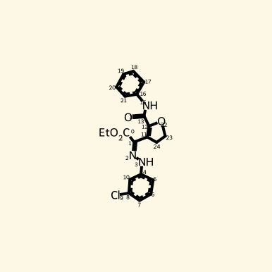 CCOC(=O)/C(=N/Nc1cccc(Cl)c1)C1=C(C(=O)Nc2ccccc2)OCC1